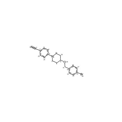 N#Cc1ccc(N2CCC(OCc3ccc(Br)cc3)CC2)nc1